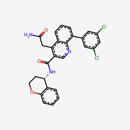 NC(=O)Cc1c(C(=O)N[C@H]2CCOc3ccccc32)cnc2c(-c3cc(Cl)cc(Cl)c3)cccc12